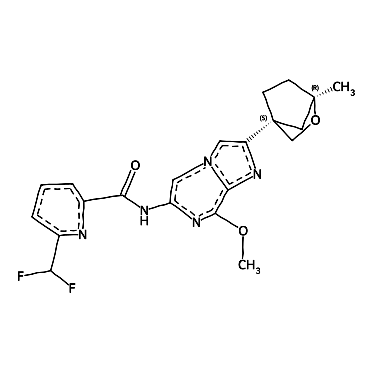 COc1nc(NC(=O)c2cccc(C(F)F)n2)cn2cc([C@]34CC[C@](C)(C3)OC4)nc12